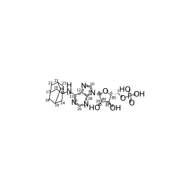 O=P(O)(O)OC[C@H]1O[C@@H](n2cnc3c(NC45CC6CC(CC(C6)C4)C5)ncnc32)[C@H](O)[C@@H]1O